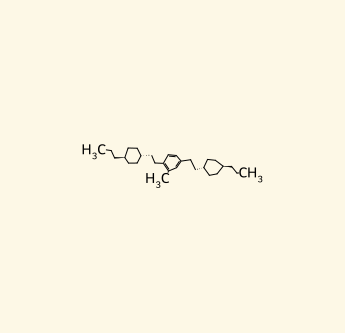 CCC[C@H]1CC[C@H](CCc2ccc(CC[C@H]3CC[C@H](CCC)CC3)c(C)c2)CC1